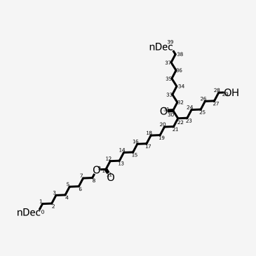 CCCCCCCCCCCCCCCCCCOC(=O)CCCCCCCCCCC(CCCCCCO)C(=O)CCCCCCCCCCCCCCCCC